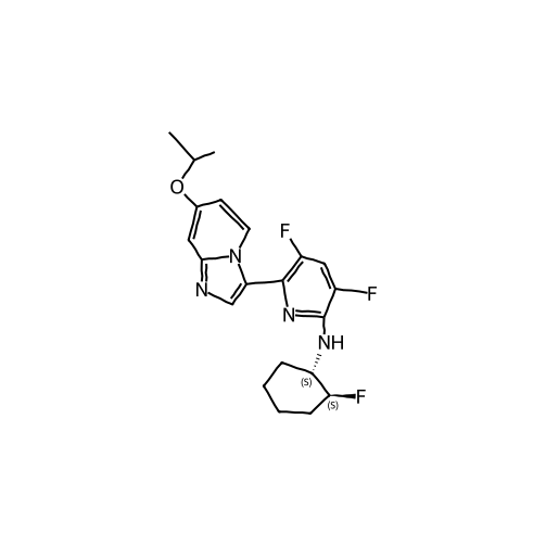 CC(C)Oc1ccn2c(-c3nc(N[C@H]4CCCC[C@@H]4F)c(F)cc3F)cnc2c1